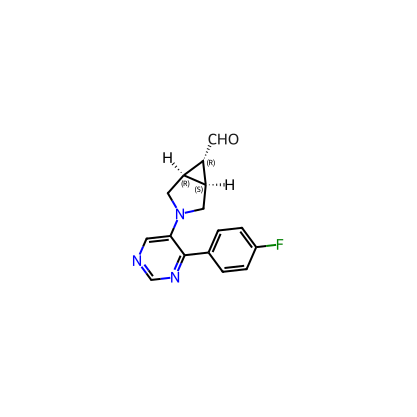 O=C[C@@H]1[C@H]2CN(c3cncnc3-c3ccc(F)cc3)C[C@@H]12